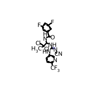 CC(Cl)(Cl)C(NC(=O)c1cc(F)cc(F)c1)N/C(=N/C#N)Nc1ccc(C(F)(F)F)nc1